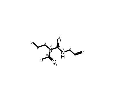 C=CCNC(=O)N(CCC)C(C)=O